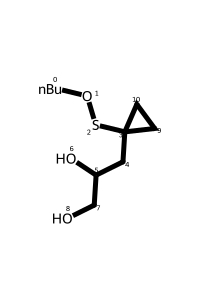 CCCCOSC1(CC(O)CO)CC1